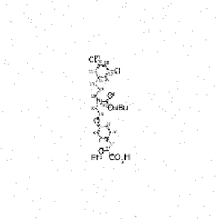 CCOC(Cc1ccc(OCCN(CCCc2cc(Cl)cc(Cl)c2)C(=O)OC(C)CC)cc1)C(=O)O